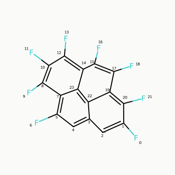 Fc1[c]c2cc(F)c3c(F)c(F)c(F)c4c(F)c(F)c(c1F)c2c34